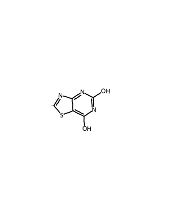 Oc1nc(O)c2s[c]nc2n1